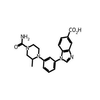 CC1CN(C(N)=O)CCN1c1cccc(-n2cnc3cc(C(=O)O)ccc32)c1